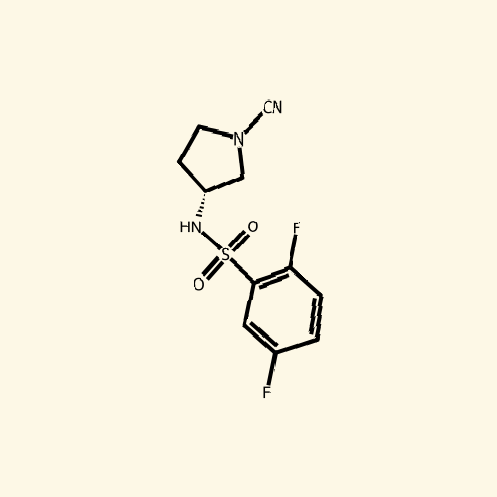 N#CN1CC[C@@H](NS(=O)(=O)c2cc(F)ccc2F)C1